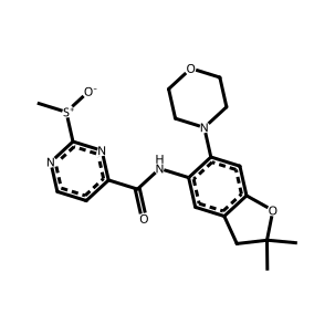 C[S+]([O-])c1nccc(C(=O)Nc2cc3c(cc2N2CCOCC2)OC(C)(C)C3)n1